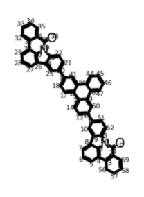 O=c1c2c(c3cccc4c5cc(-c6ccc7c8ccc(-c9ccc%10c(c9)c9cccc%11c%12ccccc%12c(=O)n%10c%119)cc8c8ccccc8c7c6)ccc5n1c34)CCC=C2